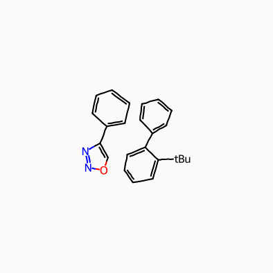 CC(C)(C)c1ccccc1-c1ccccc1.c1ccc(-c2conn2)cc1